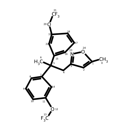 Cc1cc(CC(C)(c2cccc(OC(F)(F)F)c2)c2cccc(OC(F)(F)F)c2)no1